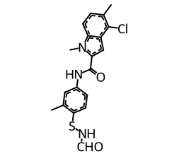 Cc1cc(NC(=O)c2cc3c(Cl)c(C)ccc3n2C)ccc1SNC=O